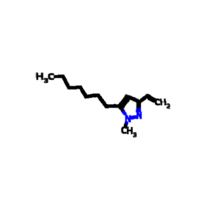 C=Cc1cc(CCCCCCC)n(C)n1